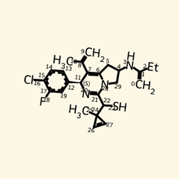 C=C(CC)NC1CC2=C(C(=C)C)[C@H](c3ccc(Cl)c(F)c3)N=C(C(S)C3(C)C=C3)N2C1